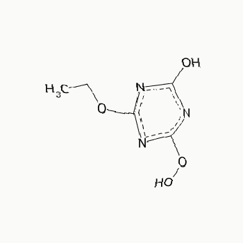 CCOc1nc(O)nc(OO)n1